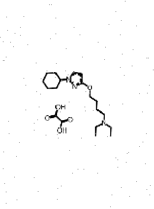 CCN(CC)CCCCOc1ccn(C2CCCCC2)n1.O=C(O)C(=O)O